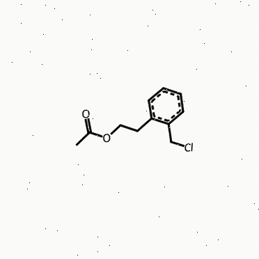 CC(=O)OCCc1ccccc1CCl